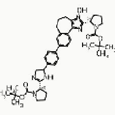 CC(C)(C)OC(=O)N1CCC[C@H]1C1=NCC(c2ccc(-c3ccc4c(c3)CCCc3c-4nc([C@@H]4CCCN4C(=O)OC(C)(C)C)n3O)cc2)N1